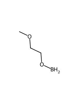 BOCCOC